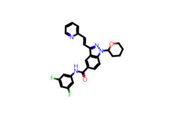 O=C(Nc1cc(F)cc(F)c1)c1ccc2c(c1)c(/C=C/c1ccccn1)nn2C1CCCCO1